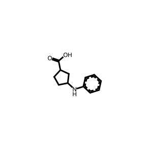 O=C(O)C1CCC(Nc2ccccc2)C1